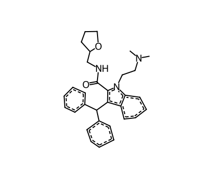 CN(C)CCn1c(C(=O)NCC2CCCO2)c(C(c2ccccc2)c2ccccc2)c2ccccc21